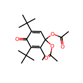 CCC1=C(C(C)(C)C)C(=O)C(C(C)(C)C)=CC1(OC(C)=O)OC(C)=O